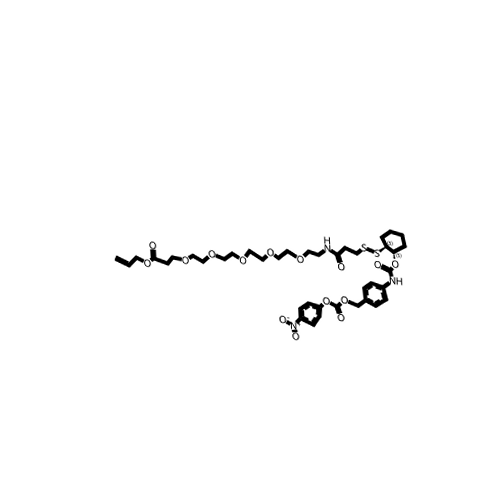 C=CCOC(=O)CCOCCOCCOCCOCCOCCNC(=O)CCSS[C@H]1CCCC[C@@H]1OC(=O)Nc1ccc(COC(=O)Oc2ccc([N+](=O)[O-])cc2)cc1